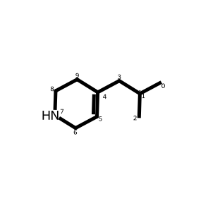 C[C](C)CC1=CCNCC1